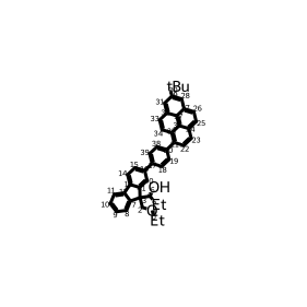 CCOCC1(C(O)CC)c2ccccc2-c2ccc(-c3ccc(-c4ccc5ccc6cc(C(C)(C)C)cc7ccc4c5c67)cc3)cc21